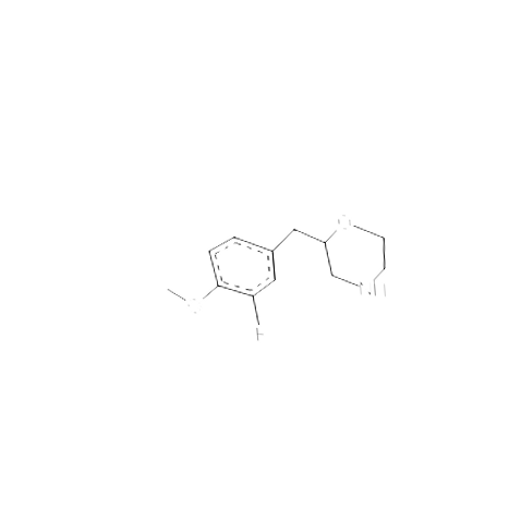 COc1ccc(CC2CNCCO2)cc1F